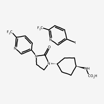 FC(F)(F)c1ccc(I)cn1.O=C(O)N[C@H]1CC[C@H](N2CCN(c3ccc(C(F)(F)F)nc3)C2=O)CC1